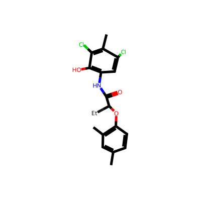 CCC(Oc1ccc(C)cc1C)C(=O)Nc1cc(Cl)c(C)c(Cl)c1O